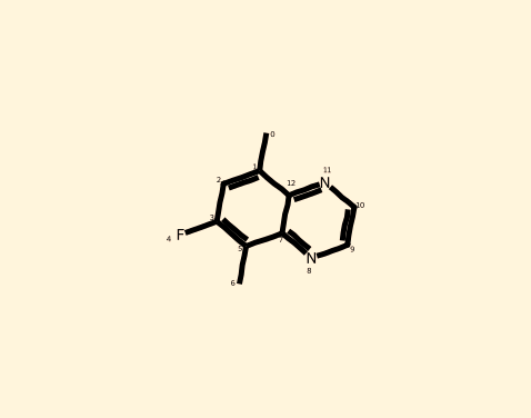 Cc1cc(F)c(C)c2nccnc12